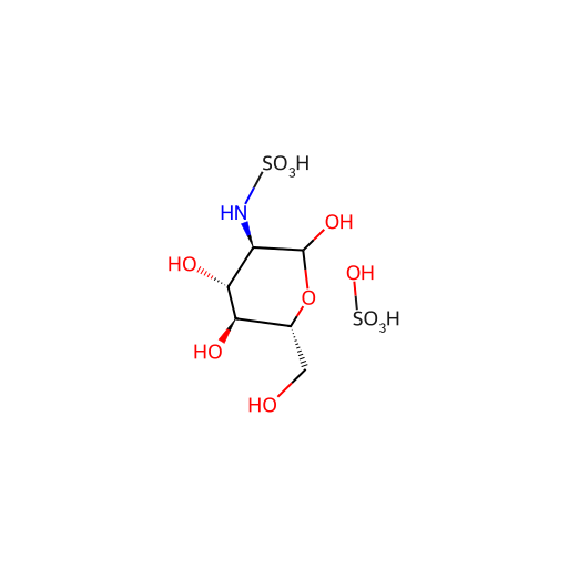 O=S(=O)(O)N[C@H]1C(O)O[C@H](CO)[C@@H](O)[C@@H]1O.O=S(=O)(O)O